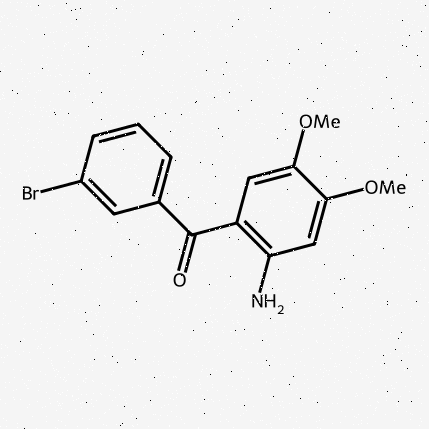 COc1cc(N)c(C(=O)c2cccc(Br)c2)cc1OC